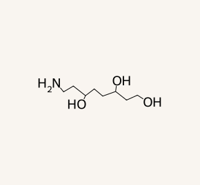 NCCC(O)CCC(O)CCO